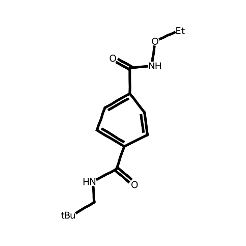 CCONC(=O)c1ccc(C(=O)NCC(C)(C)C)cc1